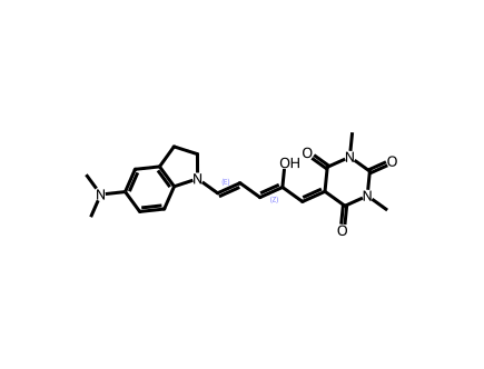 CN1C(=O)C(=C/C(O)=C/C=C/N2CCc3cc(N(C)C)ccc32)C(=O)N(C)C1=O